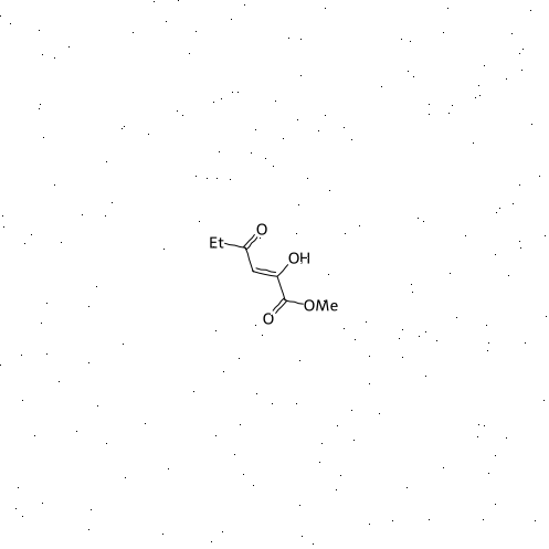 CCC(=O)C=C(O)C(=O)OC